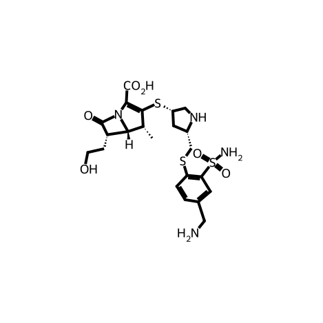 C[C@H]1C(S[C@@H]2CN[C@H](CSc3ccc(CN)cc3S(N)(=O)=O)C2)=C(C(=O)O)N2C(=O)[C@@H](CCO)[C@@H]12